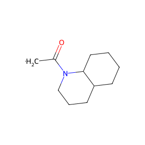 [CH2]C(=O)N1CCCC2CCCCC21